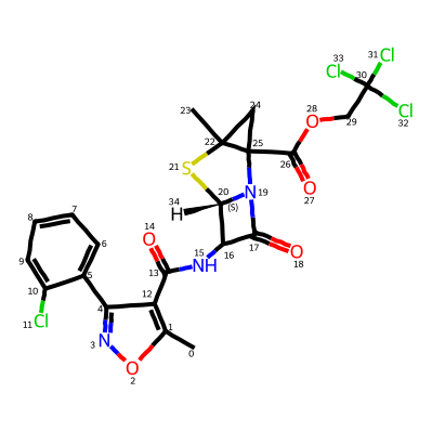 Cc1onc(-c2ccccc2Cl)c1C(=O)NC1C(=O)N2[C@H]1SC1(C)CC21C(=O)OCC(Cl)(Cl)Cl